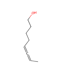 CC=C=CCCCCO